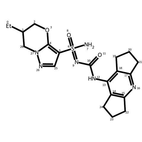 CCC1COc2c(S(N)(=O)=NC(=O)Nc3c4c(nc5c3CCC5)CCC4)cnn2C1